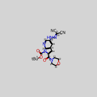 CC(C)(C)OC(=O)n1c(C(=O)N2CCOCC2)cc2cc(NN=C(C#N)C#N)cnc21